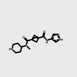 CN(C(=O)C12CC(C(=O)Nc3cn[nH]c3)(C1)C2)C1CCNCC1